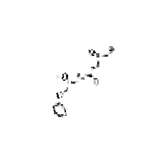 C=CC(=O)CCC(=O)OCC(O)COc1ccccc1